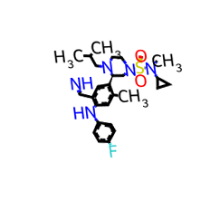 Cc1cc(Nc2ccc(F)cc2)c(C=N)cc1[C@@H]1CN(S(=O)(=O)N(C)C2CC2)CCN1CC(C)C